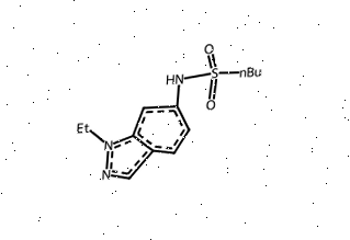 CCCCS(=O)(=O)Nc1ccc2cnn(CC)c2c1